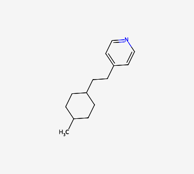 CC1CCC(CCc2ccncc2)CC1